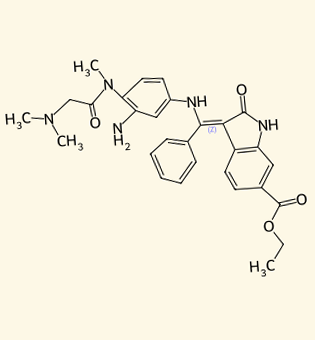 CCOC(=O)c1ccc2c(c1)NC(=O)/C2=C(\Nc1ccc(N(C)C(=O)CN(C)C)c(N)c1)c1ccccc1